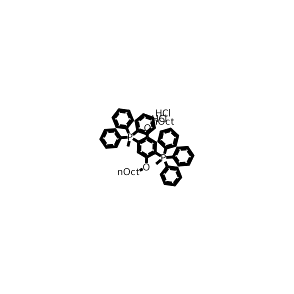 CCCCCCCCOc1cc(P(C)(c2ccccc2)(c2ccccc2)c2ccccc2)c(OCCCCCCCC)cc1P(C)(c1ccccc1)(c1ccccc1)c1ccccc1.Cl.Cl